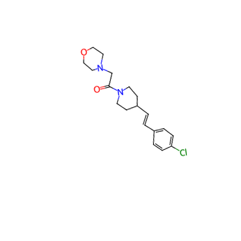 O=C(CN1CCOCC1)N1CCC(C=Cc2ccc(Cl)cc2)CC1